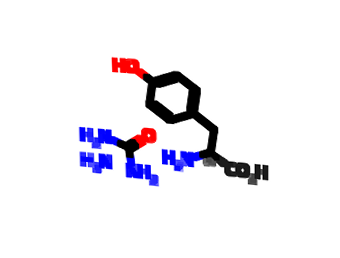 N.NC(N)=O.N[C@@H](Cc1ccc(O)cc1)C(=O)O